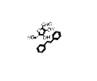 O=C[C@@H]1O[C@@H](CO)[C@@H](O)[C@@H]1O.c1ccc(CCc2ccccc2)cc1